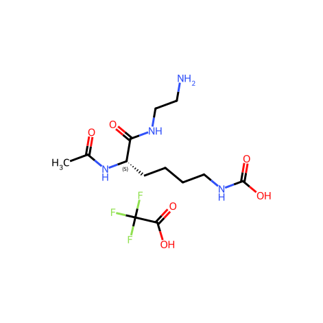 CC(=O)N[C@@H](CCCCNC(=O)O)C(=O)NCCN.O=C(O)C(F)(F)F